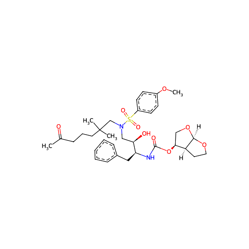 COc1ccc(S(=O)(=O)N(C[C@@H](O)[C@H](Cc2ccccc2)NC(=O)O[C@H]2CO[C@H]3OCC[C@H]32)CC(C)(C)CCCC(C)=O)cc1